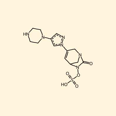 O=C1N2CC(n3cc(N4CCNCC4)cn3)=CC(C2)N1OS(=O)(=O)O